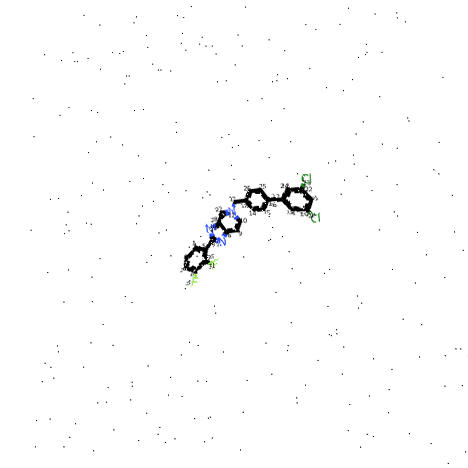 Fc1cccc(-c2nc3ccn(Cc4ccc(-c5cc(Cl)cc(Cl)c5)cc4)cc-3n2)c1F